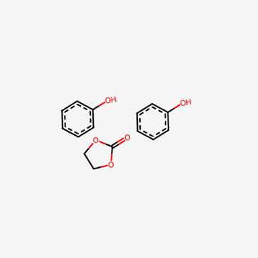 O=C1OCCO1.Oc1ccccc1.Oc1ccccc1